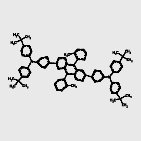 Cc1ccccc1-c1c2ccc(-c3ccc(N(c4ccc(C(C)(C)C)cc4)c4ccc(C(C)(C)C)cc4)cc3)cc2c(-c2ccccc2C)c2ccc(-c3ccc(N(c4ccc(C(C)(C)C)cc4)c4ccc(C(C)(C)C)cc4)cc3)cc12